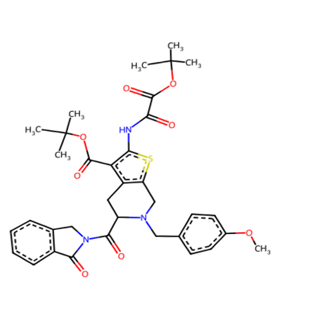 COc1ccc(CN2Cc3sc(NC(=O)C(=O)OC(C)(C)C)c(C(=O)OC(C)(C)C)c3CC2C(=O)N2Cc3ccccc3C2=O)cc1